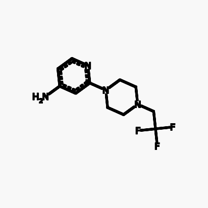 Nc1ccnc(N2CCN(CC(F)(F)F)CC2)c1